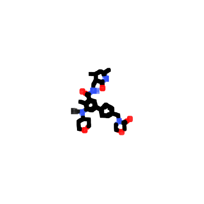 CCN(c1cc(-c2ccc(CN3CCOCC3=O)cc2)cc(C(=O)NCC2C(=O)N=C(C)CC2C)c1C)C1CCOCC1